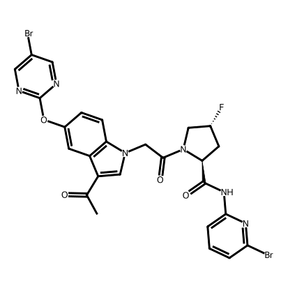 CC(=O)c1cn(CC(=O)N2C[C@H](F)C[C@H]2C(=O)Nc2cccc(Br)n2)c2ccc(Oc3ncc(Br)cn3)cc12